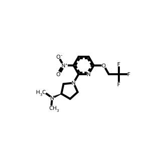 CN(C)[C@@H]1CCN(c2nc(OCC(F)(F)F)ccc2[N+](=O)[O-])C1